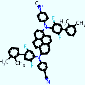 [C-]#[N+]c1ccc(N(c2cc(F)c(-c3cccc(C)c3C)cc2F)c2ccc3ccc4c(N(c5ccc(C#N)cc5)c5cc(F)c(-c6cccc(C)c6C)cc5F)ccc5ccc2c3c54)cc1